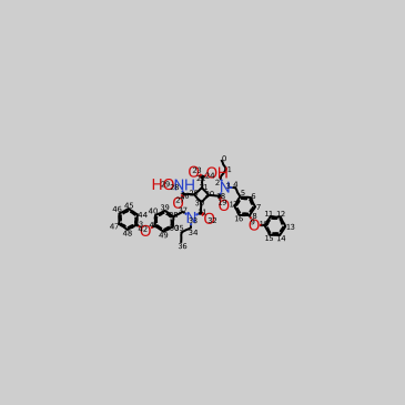 CCCN(Cc1ccc(Oc2ccccc2)cc1)C(=O)C1C(C(=O)O)C(C(=O)NO)C1C(=O)N(CCC)Cc1ccc(Oc2ccccc2)cc1